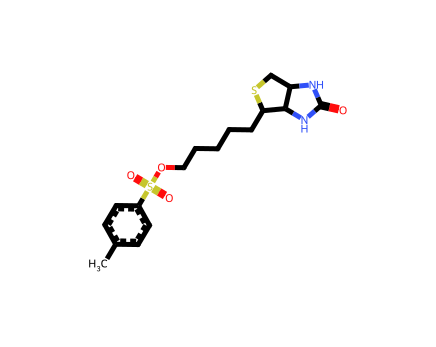 Cc1ccc(S(=O)(=O)OCCCCCC2SCC3NC(=O)NC32)cc1